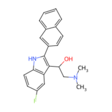 CN(C)CC(O)c1c(-c2ccc3ccccc3c2)[nH]c2ccc(F)cc12